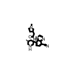 C[C@@H]1CNC[C@](NC(=O)CC2CCN(C)C2)(c2ccc(C#N)c3nccnc23)C1